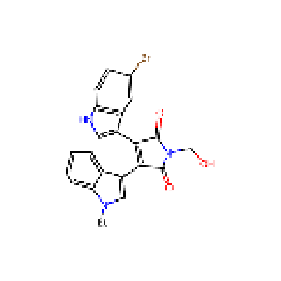 CCn1cc(C2=C(c3c[nH]c4ccc(Br)cc34)C(=O)N(CO)C2=O)c2ccccc21